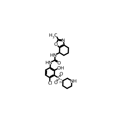 Cc1nc2c(o1)C(NC(=O)Nc1ccc(Cl)c(S(=O)(=O)[C@H]3CCCNC3)c1O)CCC2